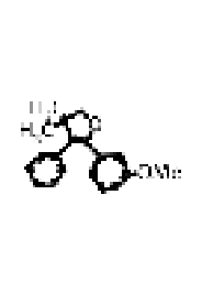 COc1cccc(C2=C(c3ccccc3)C(C)(C)CO2)c1